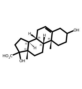 C[C@]12CCC(O)CC1=CC[C@@H]1[C@H]2CC[C@@]2(C)[C@H]1CCC2(O)C(=O)O